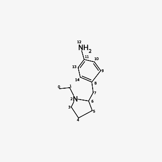 CCN1CCCC1Cc1ccc(N)cc1